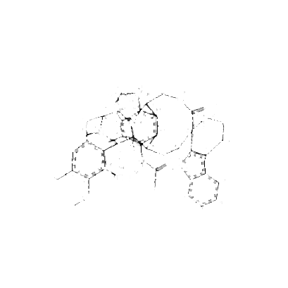 COc1c(C)cc2c(c1O)[C@@H]1[C@H]3[C@@H]4SC[C@]5(NCCc6c5[nH]c5ccccc65)C(=O)OC[C@@H](c5c6c(c(C)c(OC(C)=O)c54)OCO6)N3[C@H](O)[C@H](C2)N1C